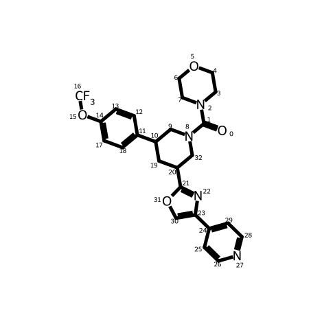 O=C(N1CCOCC1)N1CC(c2ccc(OC(F)(F)F)cc2)CC(c2nc(-c3ccncc3)co2)C1